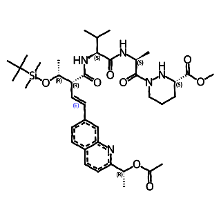 COC(=O)[C@@H]1CCCN(C(=O)[C@H](C)NC(=O)[C@@H](NC(=O)[C@H](/C=C/c2ccc3ccc([C@@H](C)OC(C)=O)nc3c2)[C@@H](C)O[Si](C)(C)C(C)(C)C)C(C)C)N1